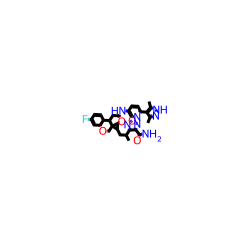 Cc1n[nH]c(C)c1-c1ccc(NC(=O)CC2C3C=CC(F)=CC3OCC23CC3CC(C)c2nonc2C(N)=O)cn1